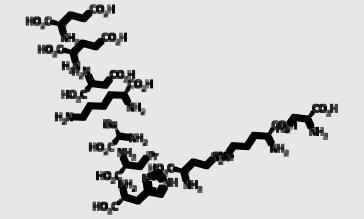 CC(C)C[C@@H](N)C(=O)O.CC[C@@H](C)[C@@H](N)C(=O)O.CSCC[C@@H](N)C(=O)O.NCCCC[C@@H](N)C(=O)O.NCCC[C@@H](N)C(=O)O.N[C@@H](CC(=O)O)C(=O)O.N[C@H](CCC(=O)O)C(=O)O.N[C@H](CCC(=O)O)C(=O)O.N[C@H](CS)C(=O)O.N[C@H](Cc1c[nH]cn1)C(=O)O